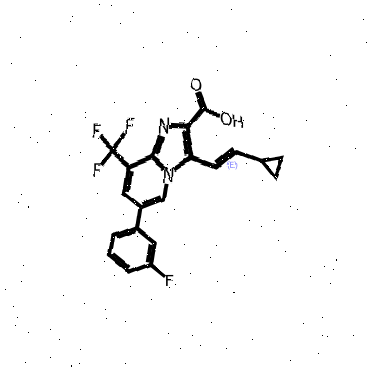 O=C(O)c1nc2c(C(F)(F)F)cc(-c3cccc(F)c3)cn2c1/C=C/C1CC1